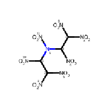 O=[N+]([O-])C(C([N+](=O)[O-])[N+](=O)[O-])N(C(C([N+](=O)[O-])[N+](=O)[O-])[N+](=O)[O-])[N+](=O)[O-]